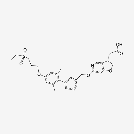 CCS(=O)(=O)CCCOc1cc(C)c(-c2cccc(COc3cc4c(cn3)[C@H](CC(=O)O)CO4)c2)c(C)c1